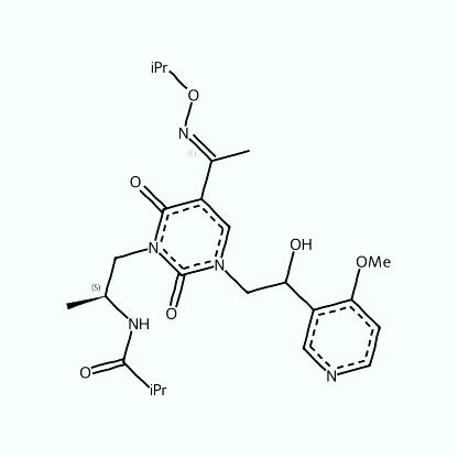 COc1ccncc1C(O)Cn1cc(/C(C)=N/OC(C)C)c(=O)n(C[C@H](C)NC(=O)C(C)C)c1=O